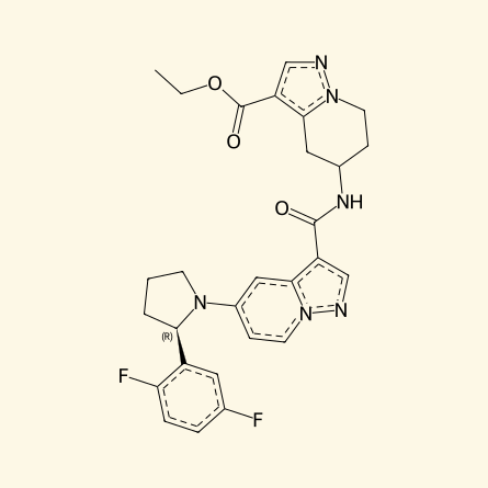 CCOC(=O)c1cnn2c1CC(NC(=O)c1cnn3ccc(N4CCC[C@@H]4c4cc(F)ccc4F)cc13)CC2